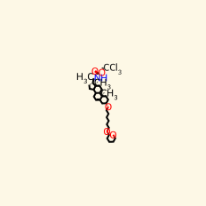 C[C@H](NC(=O)OCC(Cl)(Cl)Cl)[C@H]1CCC2C3CC=C4C[C@@H](OCCCCCCOC5CCCCO5)CC[C@]4(C)C3CC[C@@]21C